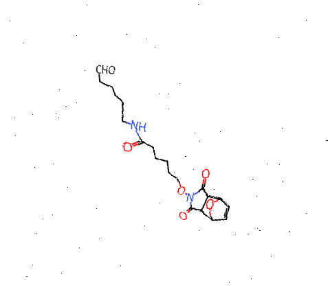 O=CCCCCCNC(=O)CCCCCON1C(=O)C2C3C=CC(O3)C2C1=O